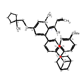 C=C/C(C#N)=C1/C(c2ccc(N3CC4CC(C3)N4Cc3ccc(OC)nc3)nc2)=CC(OCC2(C#N)CCCC2)=CN1C